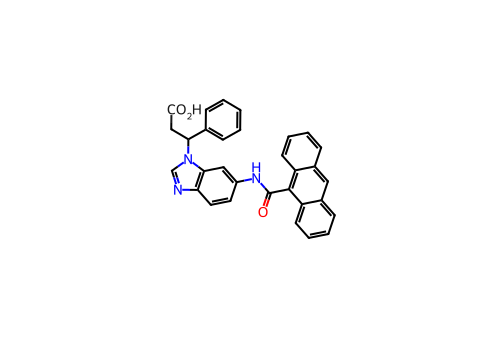 O=C(O)CC(c1ccccc1)n1cnc2ccc(NC(=O)c3c4ccccc4cc4ccccc34)cc21